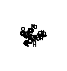 O=Nc1ccc(S(=O)(=O)N(CC2CCC(=O)N2)C[C@@H](O)[C@H](Cc2ccccc2)NC(=O)OC2CO[C@H]3OCC[C@@H]23)cc1